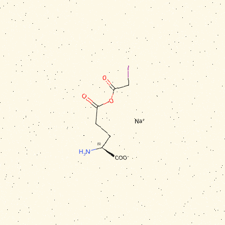 N[C@@H](CCC(=O)OC(=O)CI)C(=O)[O-].[Na+]